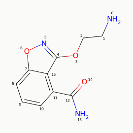 NCCOc1noc2cccc(C(N)=O)c12